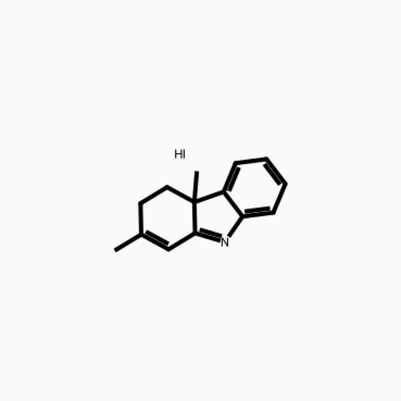 CC1=CC2=Nc3ccccc3C2(C)CC1.I